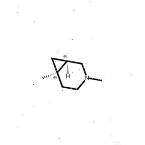 CN1CC[C@@]2(C)C[C@H]2C1